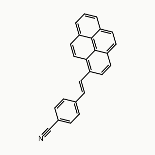 N#Cc1ccc(C=Cc2ccc3ccc4cccc5ccc2c3c45)cc1